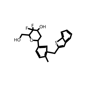 Cc1ccc(C2CC(O)C(F)(F)C(CO)O2)cc1Cc1cc2ccccc2s1